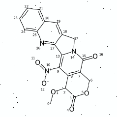 COC1C(=O)OCc2c1c([N+](=O)[O-])c1n(c2=O)Cc2cc3ccccc3nc2-1